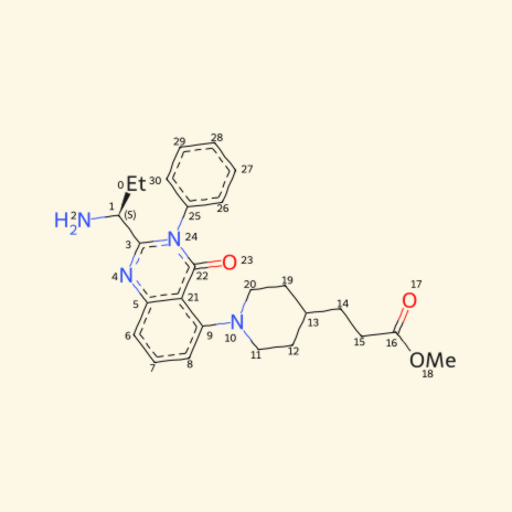 CC[C@H](N)c1nc2cccc(N3CCC(CCC(=O)OC)CC3)c2c(=O)n1-c1ccccc1